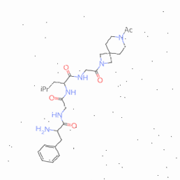 CC(=O)N1CCC2(CC1)CN(C(=O)CNC(=O)C(CC(C)C)NC(=O)CNC(=O)C(N)Cc1ccccc1)C2